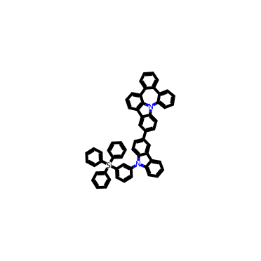 c1ccc([Si](c2ccccc2)(c2ccccc2)c2cccc(-n3c4ccccc4c4cc(-c5ccc6c(c5)c5cccc7c5n6-c5ccccc5-c5ccccc5-7)ccc43)c2)cc1